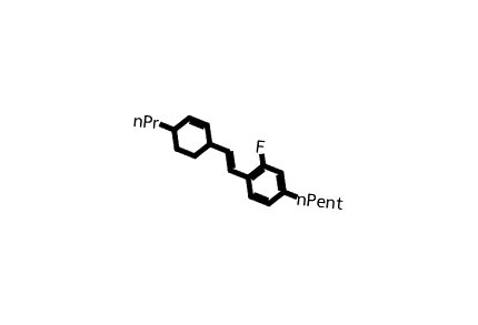 CCCCCc1ccc(/C=C/C2C=CC(CCC)CC2)c(F)c1